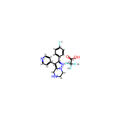 Fc1ccc(-c2nn3c(c2-c2ccncc2)CNCC3)cc1.O=C(O)C(F)(F)F